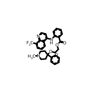 CN1CCC(OC(=O)COC(=O)c2ccccc2Nc2ccnc3c(C(F)(F)F)cccc23)(c2ccccc2)CC1